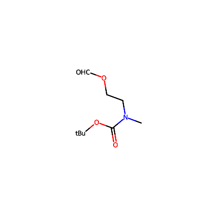 CN(CCOC=O)C(=O)OC(C)(C)C